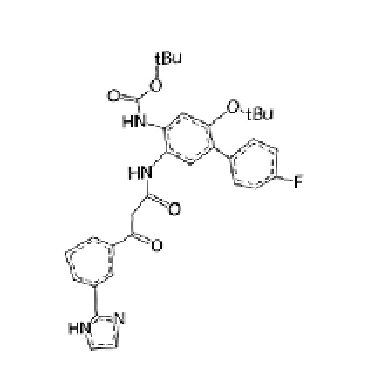 CC(C)(C)OC(=O)Nc1cc(OC(C)(C)C)c(-c2ccc(F)cc2)cc1NC(=O)CC(=O)c1cccc(-c2ncc[nH]2)c1